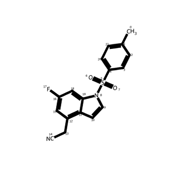 Cc1ccc(S(=O)(=O)n2ccc3c(CC#N)cc(F)cc32)cc1